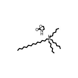 CCCCCCCCCCCCCC[PH](CCCCCC)(CCCCCC)CCCCCC.O=C1NCCO1